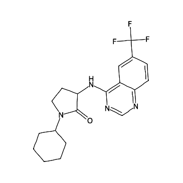 O=C1C(Nc2ncnc3ccc(C(F)(F)F)cc23)CCN1C1CCCCC1